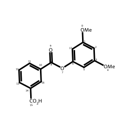 COc1cc(OC)cc(OC(=O)c2cccc(C(=O)O)c2)c1